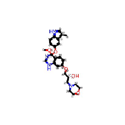 COC1(Oc2ccc3[nH]cc(C)c3c2)N=CNc2cc(OC[C@H](O)CN3CCOCC3)ccc21